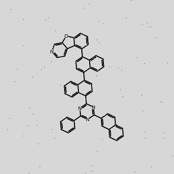 c1ccc(-c2nc(-c3ccc4ccccc4c3)nc(-c3ccc(-c4ccc(-c5cccc6oc7cnccc7c56)c5ccccc45)c4ccccc34)n2)cc1